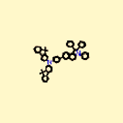 CC1(C)c2ccccc2-c2ccc(N(c3ccc(-c4ccc5c(ccc6c5c(-c5ccccc5)c(-c5ccccc5)n6-c5ccccc5)c4)cc3)c3ccc4c(c3)C(C)(C)c3ccccc3-4)cc21